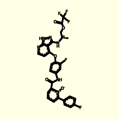 C[C@H](COC(=O)C(F)(F)F)Nc1n[nH]c2nccc(Oc3ccc(NC(=O)c4cccc(-c5ccc(F)cc5)[n+]4[O-])cc3F)c12